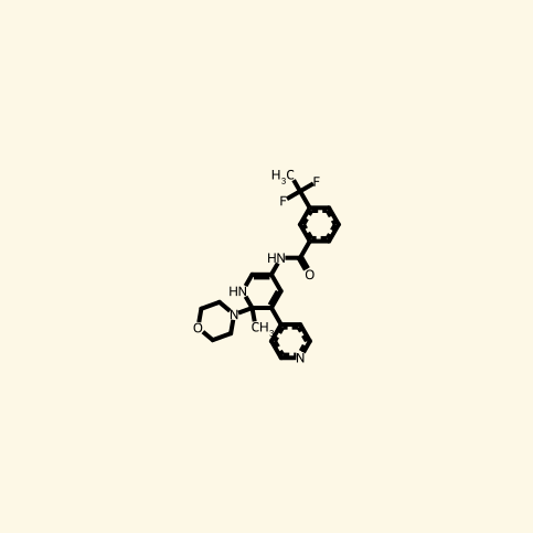 CC(F)(F)c1cccc(C(=O)NC2=CNC(C)(N3CCOCC3)C(c3ccncc3)=C2)c1